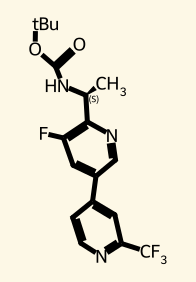 C[C@H](NC(=O)OC(C)(C)C)c1ncc(-c2ccnc(C(F)(F)F)c2)cc1F